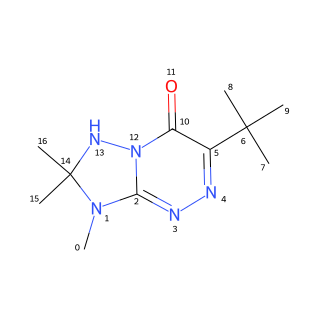 CN1c2nnc(C(C)(C)C)c(=O)n2NC1(C)C